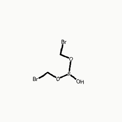 OB(OCBr)OCBr